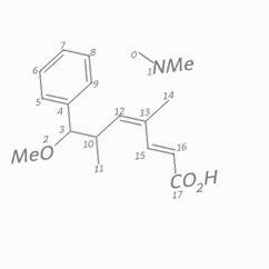 CNC.COC(c1ccccc1)C(C)C=C(C)C=CC(=O)O